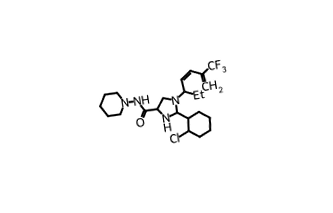 C=C(/C=C\C(CC)N1CC(C(=O)NN2CCCCC2)NC1C1CCCCC1Cl)C(F)(F)F